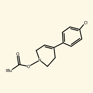 CC(C)(C)C(=O)ON1CC=C(c2ccc(Cl)cc2)CC1